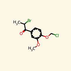 COc1cc(C(=O)C(C)Br)ccc1OCCl